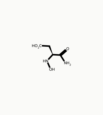 NC(=O)[C@H](CC(=O)O)NO